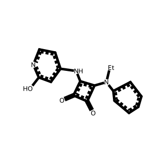 CCN(c1ccccc1)c1c(Nc2ccnc(O)c2)c(=O)c1=O